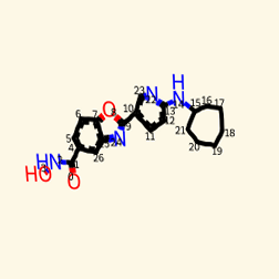 O=C(NO)c1ccc2oc(-c3ccc(NC4CCCCCC4)nc3)nc2c1